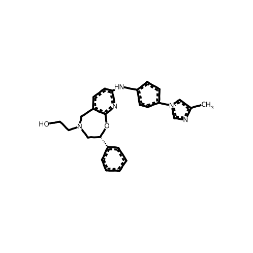 Cc1cn(-c2ccc(Nc3ccc4c(n3)O[C@H](c3ccccc3)CN(CCO)C4)cc2)cn1